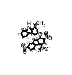 C=Cc1cccc2c1[nH]c1ccccc12.O=C1C2=Cc3cc([N+](=O)[O-])ccc3C2=C([N+](=O)[O-])C=C1[N+](=O)[O-]